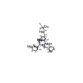 CC/C=C(\N=C(\Nc1ccncc1F)c1cc(CNCC(C)(C)C#N)c[nH]1)c1cccc(CC)n1